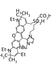 CCCC[n+]1ccn(CCCCCC(=O)O)c1C1=c2cc3c(cc2Oc2cc4c(cc21)C(CC)=CC(C)(C)N4CC)=[N+](CC)C(C)(C)C=C3CS(=O)(=O)O